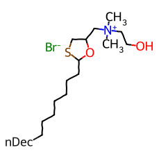 CCCCCCCCCCCCCCCCCC1OC(C[N+](C)(C)CCO)CS1.[Br-]